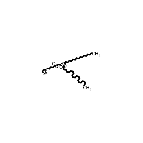 CC/C=C\C/C=C\C/C=C\C/C=C\C/C=C\C/C=C\CCC(=O)O[C@H](COCCCCCCCCCCCCCCCC)COC(=O)CCCC[C@@H]1CCSS1